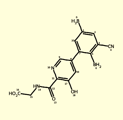 Bc1cc(C#N)c(B)c(-c2cnc(C(=O)NCC(=O)O)c(O)c2)c1